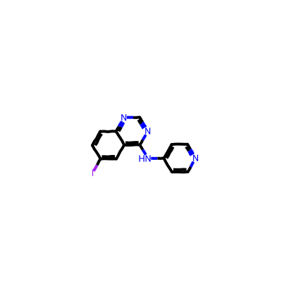 Ic1ccc2ncnc(Nc3ccncc3)c2c1